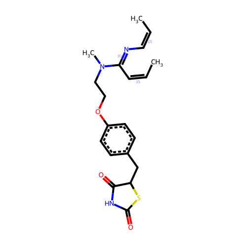 C\C=C/N=C(\C=C/C)N(C)CCOc1ccc(CC2SC(=O)NC2=O)cc1